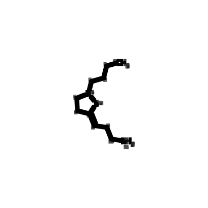 CCCCN1CC/C(=C/CCN)S1